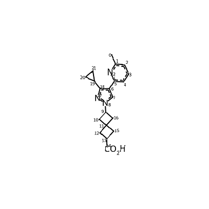 Cc1cccc(-c2cn(C3CC4(CC(C(=O)O)C4)C3)nc2C2CC2)n1